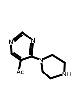 CC(=O)c1cncnc1N1CCNCC1